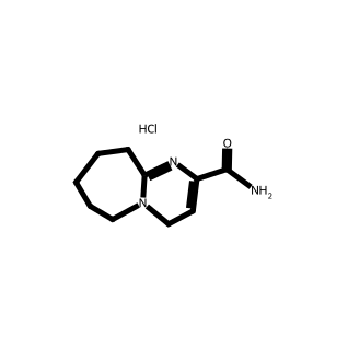 Cl.NC(=O)C1=CCN2CCCCCC2=N1